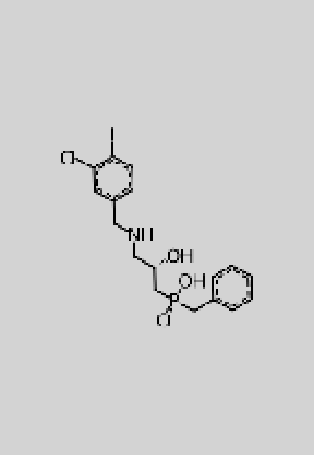 O=P(O)(Cc1ccccc1)C[C@@H](O)CNCc1ccc(I)c(Cl)c1